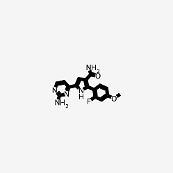 COc1ccc(-c2[nH]c(-c3ccnc(N)n3)cc2C(N)=O)c(F)c1